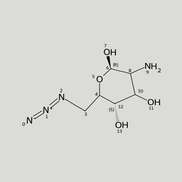 [N-]=[N+]=NCC1O[C@@H](O)C(N)C(O)[C@@H]1O